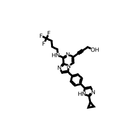 OCC#Cc1cn2c(-c3ccc(-c4cnc(C5CC5)[nH]4)cc3)cnc2c(NCCCC(F)(F)F)n1